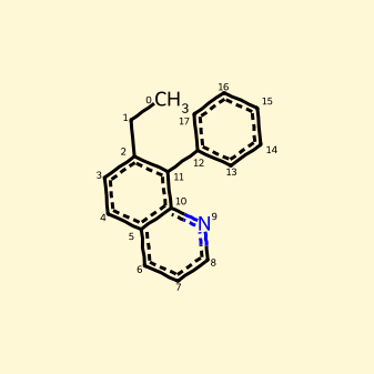 CCc1ccc2cccnc2c1-c1ccccc1